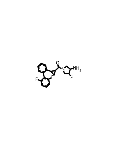 NC1CN(C(=O)C2CC2c2ccccc2-c2c(F)cccc2F)CC1F